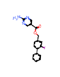 Nc1ncc(C(=O)OCc2ccc(-c3ccccc3)c(I)c2)cn1